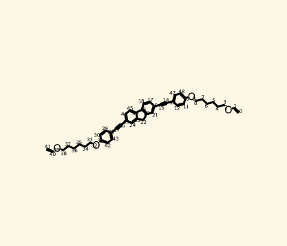 C=COCCCCCCOc1ccc(C#Cc2ccc3c(c2)Cc2cc(C#Cc4ccc(OCCCCCCOC=C)cc4)ccc2-3)cc1